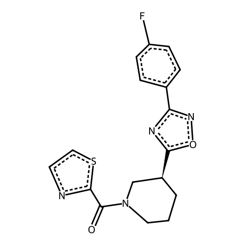 O=C(c1nccs1)N1CCC[C@H](c2nc(-c3ccc(F)cc3)no2)C1